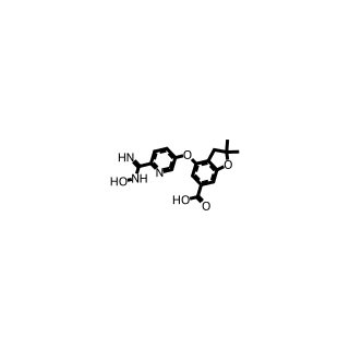 CC1(C)Cc2c(Oc3ccc(C(=N)NO)nc3)cc(C(=O)O)cc2O1